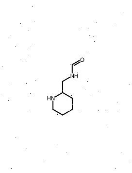 O=[C]NCC1CCCCN1